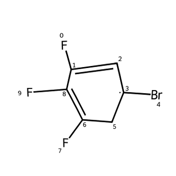 FC1=C[C](Br)CC(F)=C1F